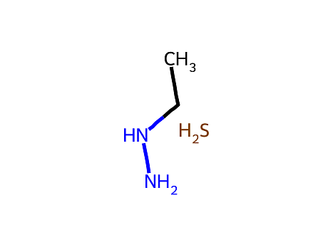 CCNN.S